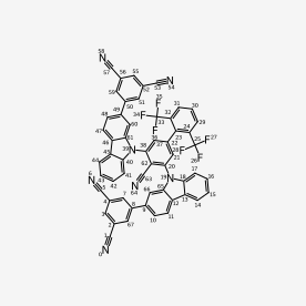 N#Cc1cc(C#N)cc(-c2ccc3c4ccccc4n(-c4cc(-c5c(C(F)(F)F)cccc5C(F)(F)F)cc(-n5c6ccccc6c6ccc(-c7cc(C#N)cc(C#N)c7)cc65)c4C#N)c3c2)c1